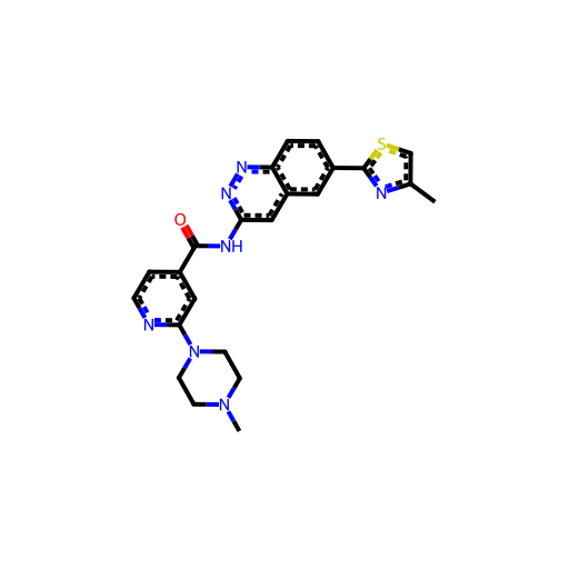 Cc1csc(-c2ccc3nnc(NC(=O)c4ccnc(N5CCN(C)CC5)c4)cc3c2)n1